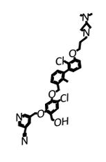 Cc1c(COc2cc(OCc3cncc(C#N)c3)c(CO)cc2Cl)cccc1-c1cccc(OCCCN2CC(N(C)C)C2)c1Cl